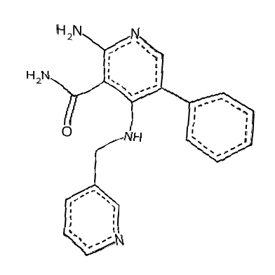 NC(=O)c1c(N)ncc(-c2ccccc2)c1NCc1cccnc1